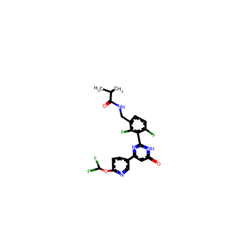 CC(C)C(=O)NCc1ccc(F)c(-c2nc(-c3ccc(OC(F)F)nc3)cc(=O)[nH]2)c1F